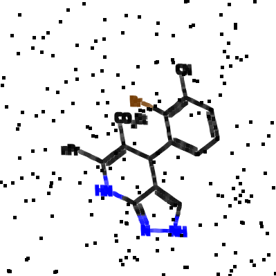 CCCC1=C(C(=O)OCC)C(c2cccc(C#N)c2Br)c2c[nH]nc2N1